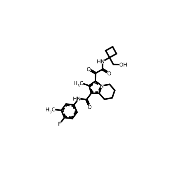 Cc1cc(NC(=O)c2c(C)c(C(=O)C(=O)NC3(CO)CCC3)n3c2CCCC3)ccc1F